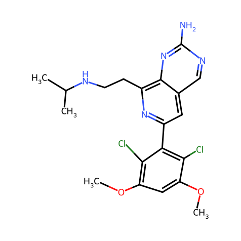 COc1cc(OC)c(Cl)c(-c2cc3cnc(N)nc3c(CCNC(C)C)n2)c1Cl